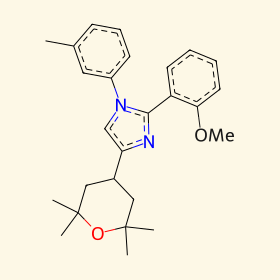 COc1ccccc1-c1nc(C2CC(C)(C)OC(C)(C)C2)cn1-c1cccc(C)c1